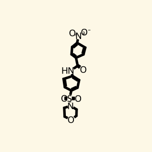 O=C(Nc1ccc(S(=O)(=O)N2CCOCC2)cc1)c1ccc([N+](=O)[O-])cc1